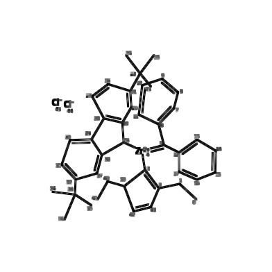 CCC1=[C]([Zr+2](=[C](c2ccccc2)c2ccccc2)[CH]2c3cc(C(C)(C)C)ccc3-c3ccc(C(C)(C)C)cc32)C(CC)C=C1.[Cl-].[Cl-]